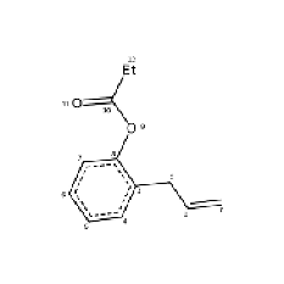 C=CCc1ccccc1OC(=O)CC